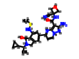 CSNc1cc(-c2ccn3nc(N)c(C(=O)NC4(C#N)COC4)c3n2)cc2c1C(=O)N(C(C)C1CC1)C2